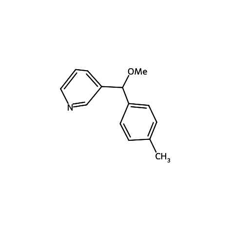 COC(c1ccc(C)cc1)c1cccnc1